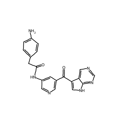 Nc1ccc(CC(=O)Nc2cncc(C(=O)c3c[nH]c4ncncc34)c2)cc1